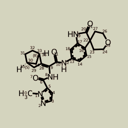 Cn1nccc1C(=O)NC(C(=O)Nc1ccc2c(c1)NC(=O)C21CCOCC1)=C1C[C@H]2CC[C@@H]1C2